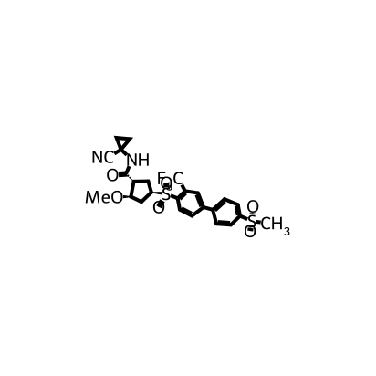 CO[C@@H]1C[C@H](S(=O)(=O)c2ccc(-c3ccc(S(C)(=O)=O)cc3)cc2C(F)(F)F)C[C@H]1C(=O)NC1(C#N)CC1